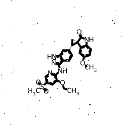 CCOc1cc(S(C)(=O)=O)cnc1Nc1n[nH]c2cc([C@@H]3C[C@@]34C(=O)Nc3ccc(OC)cc34)ccc12